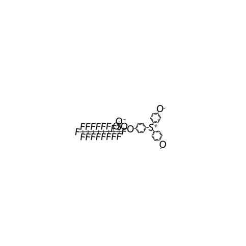 COc1ccc([S+](c2ccc(OC)cc2)c2ccc(OC)cc2)cc1.O=S(=O)([O-])C(F)(F)C(F)(F)C(F)(F)C(F)(F)C(F)(F)C(F)(F)C(F)(F)C(F)(F)F